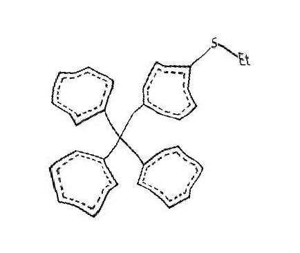 [CH2]CSc1ccc(C(c2ccccc2)(c2ccccc2)c2ccccc2)cc1